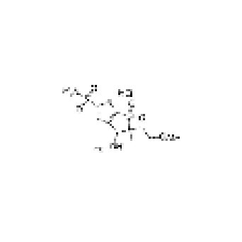 CCNC1c2cc(S(N)(=O)=O)sc2S(=O)(=O)C1(C)CCOC.Cl